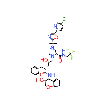 CC(C)(c1ncc(-c2ccc(Cl)cn2)o1)N1CCN(C[C@@H](O)C[C@@H](Cc2ccccc2)C(=O)N[C@H]2c3ccccc3OC[C@H]2O)[C@H](C(=O)NCC(F)(F)F)C1